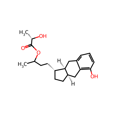 CC(CC[C@H]1CC[C@@H]2Cc3c(O)cccc3C[C@H]12)OC(=O)[C@H](C)O